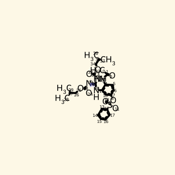 CC(=O)Nc1ccc(OS(=O)(=O)c2ccccc2)cc1N/C(=N\C(=O)OCC(C)C)NC(=O)OCC(C)C